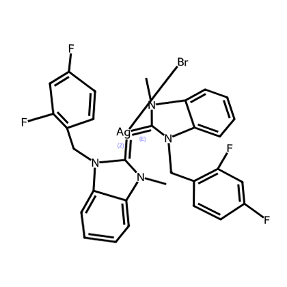 Cn1/[c](=[Ag](/[Br])=[c]2/n(C)c3ccccc3n2Cc2ccc(F)cc2F)n(Cc2ccc(F)cc2F)c2ccccc21